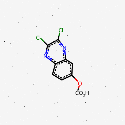 O=C(O)Oc1ccc2nc(Cl)c(Cl)nc2c1